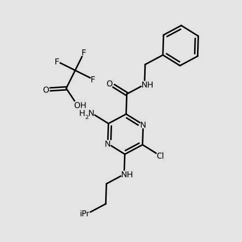 CC(C)CCNc1nc(N)c(C(=O)NCc2ccccc2)nc1Cl.O=C(O)C(F)(F)F